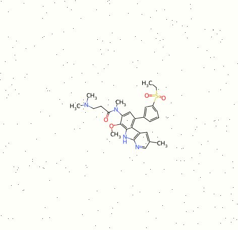 CCS(=O)(=O)c1cccc(-c2cc(N(C)C(=O)CCN(C)C)c(OC)c3[nH]c4ncc(C)cc4c23)c1